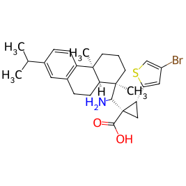 CC(C)c1ccc2c(c1)CC[C@@H]1[C@](C)(C(N)[C@@]3(C(=O)O)C[C@H]3c3cc(Br)cs3)CCC[C@]21C